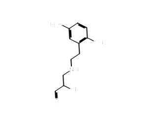 Bc1ccc(C)c(CCNCC(Cl)C=O)c1